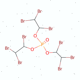 O=P(OC(Br)C(Br)Br)(OC(Br)C(Br)Br)OC(Br)C(Br)Br